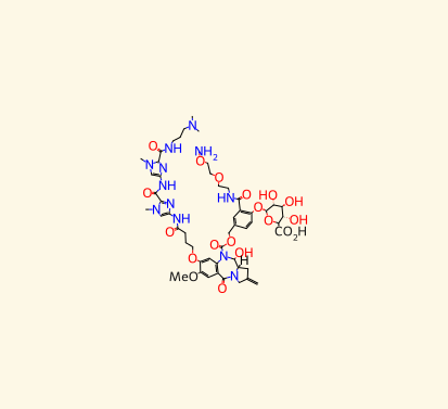 C=C1C[C@H]2C(O)N(C(=O)OCc3ccc(O[C@@H]4O[C@H](C(=O)O)[C@@H](O)[C@H](O)[C@H]4O)c(C(=O)NCCOCCON)c3)c3cc(OCCCC(=O)Nc4cn(C)c(C(=O)Nc5cn(C)c(C(=O)NCCCN(C)C)n5)n4)c(OC)cc3C(=O)N2C1